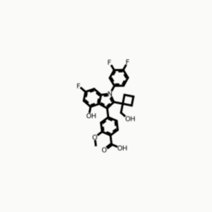 COc1cc(-c2c(C3(CO)CCC3)n(-c3ccc(F)c(F)c3)c3cc(F)cc(O)c23)ccc1C(=O)O